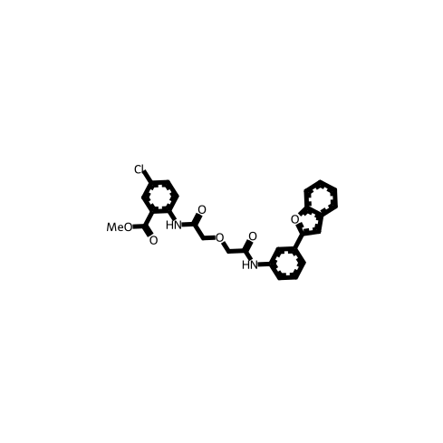 COC(=O)c1cc(Cl)ccc1NC(=O)COCC(=O)Nc1cccc(-c2cc3ccccc3o2)c1